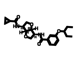 CCC(CC)Oc1cccc(C(=O)N[C@H]2CO[C@H]3[C@@H]2OC[C@@H]3NC(=O)C2CC2)c1